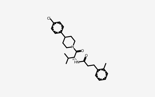 Cc1ccccc1CCC(=O)N[C@@H](C(=O)N1CCC(c2ccc(Cl)cc2)CC1)C(C)C